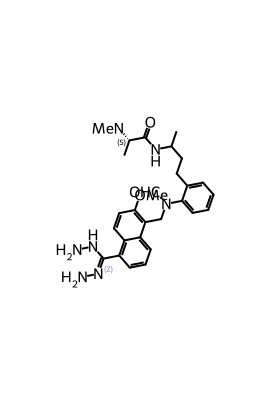 CN[C@@H](C)C(=O)NC(C)CCc1ccccc1N(C=O)Cc1c(OC)ccc2c(/C(=N/N)NN)cccc12